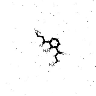 CCCC(=O)c1cccc(C(=O)CCC)c1N